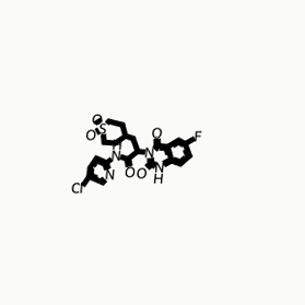 O=C(Nc1ccc(Cl)cn1)C(CC1CCS(=O)(=O)CC1)n1c(=O)[nH]c2ccc(F)cc2c1=O